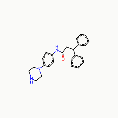 O=C(CC(c1ccccc1)c1ccccc1)Nc1ccc(N2CCNCC2)cc1